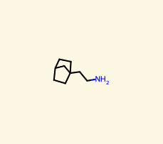 NCCC12CCC(CC1)C2